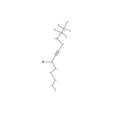 CCCCCC(Br)C#CCO[Si](C)(C)C(C)(C)C